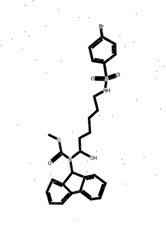 COC(=O)N(C(O)CCCCCNS(=O)(=O)c1ccc(Br)cc1)C1c2ccccc2-c2ccccc21